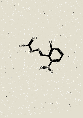 N=C(N)NN=Cc1c(Cl)cccc1[N+](=O)[O-]